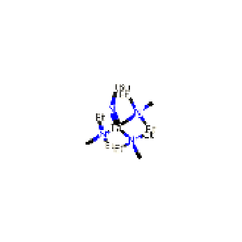 CC[N+](C)(CC)[Ta](=[N]C(C)(C)C)([N+](C)(CC)CC)[N+](C)(CC)CC